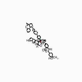 CC1(O)CCC(CNc2ccc(S(=O)(=O)NC(=O)c3ccc(N4CCC5(CC4)CC(N4CCCC[C@H]4c4ccccc4OC4CC4)C5)cc3N3c4cc5cc[nH]c5nc4O[C@H]4COCC[C@@H]43)cc2[N+](=O)[O-])CC1